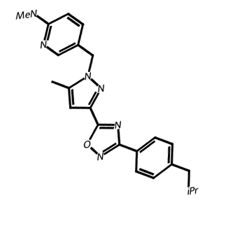 CNc1ccc(Cn2nc(-c3nc(-c4ccc(CC(C)C)cc4)no3)cc2C)cn1